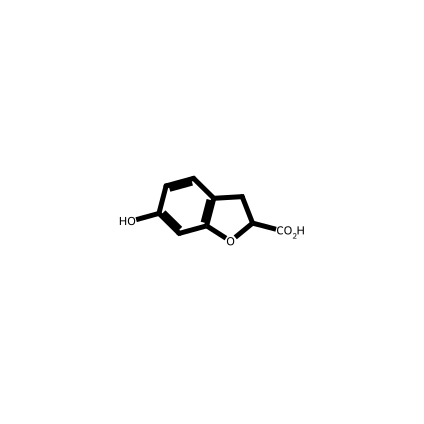 O=C(O)C1Cc2ccc(O)cc2O1